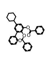 O=C(Oc1cc(C2CCCCC2)cc(-c2ccccc2)c1OC(=O)c1ccccc1)c1ccccc1